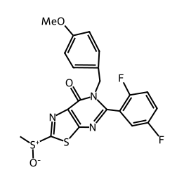 COc1ccc(Cn2c(-c3cc(F)ccc3F)nc3sc([S+](C)[O-])nc3c2=O)cc1